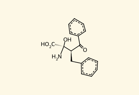 N[C@](O)(C(=O)O)[C@H](Cc1ccccc1)C(=O)c1ccccc1